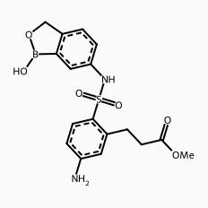 COC(=O)CCc1cc(N)ccc1S(=O)(=O)Nc1ccc2c(c1)B(O)OC2